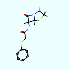 CCOC(=O)C1(NC(=O)CSc2ccccc2)C(=O)N2[C@@H](C(=O)O)C(C)(C)S[C@@H]21